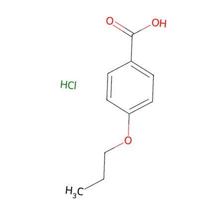 CCCOc1ccc(C(=O)O)cc1.Cl